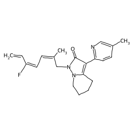 C=C/C(F)=C\C=C(\C)Cn1c(=O)c(-c2ccc(C)cn2)c2n1CCCC2